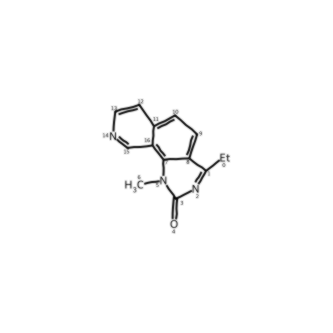 CCc1nc(=O)n(C)c2c1ccc1ccncc12